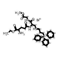 CCOC(=O)C(N)CCC(=O)NC(C[SH]=CCC[P+](c1ccccc1)(c1ccccc1)c1ccccc1)C(=O)NCC(=O)OC.[Br-]